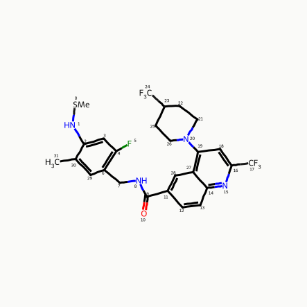 CSNc1cc(F)c(CNC(=O)c2ccc3nc(C(F)(F)F)cc(N4CCC(C(F)(F)F)CC4)c3c2)cc1C